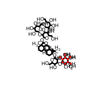 C=C1C[C@@]23CCC4[C@](C)(C(=O)OC5OC(CO)C(O)C(OC6OC(CO)C(O)C(O)C6O)C5OC5OC(CO)C(O)C(O)C5O)CCC[C@@]4(C)[C@@H]2CC[C@]1(OC1OC(CO)C(O)C(OC2OC(CO)C(O)C(O)C2O)C1OC1OC(C)C(O)C(O)C1O)C3